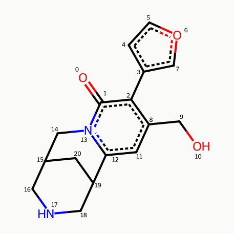 O=c1c(-c2ccoc2)c(CO)cc2n1CC1CNCC2C1